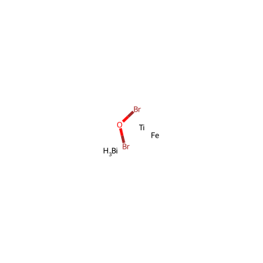 BrOBr.[BiH3].[Fe].[Ti]